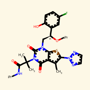 Cc1c(-n2nccn2)sc2c1c(=O)n(C(C)(C)C(=O)NC(C)C)c(=O)n2C[C@H](OC(C)C)c1cc(F)ccc1O